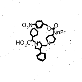 CCCN(C(=O)OCc1ccc([N+](=O)[O-])cc1)C1CCN(CC2CN(C(C(=O)O)C3CCCCC3)CC2c2ccccc2)CC1